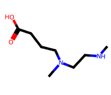 CNCCN(C)CCCC(=O)O